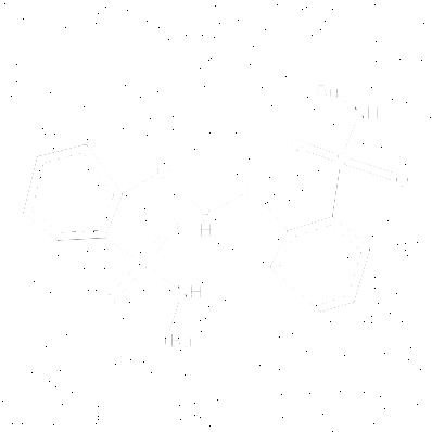 CC(C)(C)NS(=O)(=O)c1ccccc1OBOc1ccccc1S(=O)(=O)NC(C)(C)C